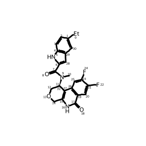 CCc1ccc2[nH]c(C(=O)N(C)[C@@H]3COCc4[nH]c(=O)c5cc(F)c(F)cc5c43)cc2c1